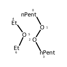 CCCCCOOCCCCC.CCOCC